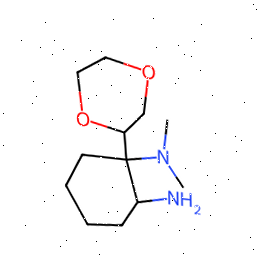 CN(C)C1(C2COCCO2)CCCCC1N